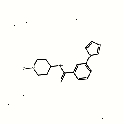 O=C(NC1CC[S+]([O-])CC1)c1cccc(-n2ccnc2)c1